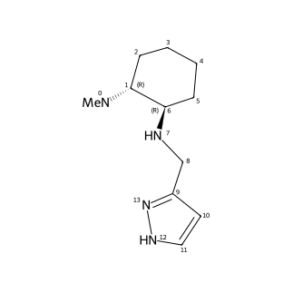 CN[C@@H]1CCCC[C@H]1NCc1cc[nH]n1